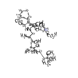 CC(C)[C@H](C[C@H](O)[C@@H](N)CN1CC(=O)N(c2ccccc2Cl)CC1(C)C)C(=O)NCCC(C)(C)O.O=C(O)/C=C/C(=O)O